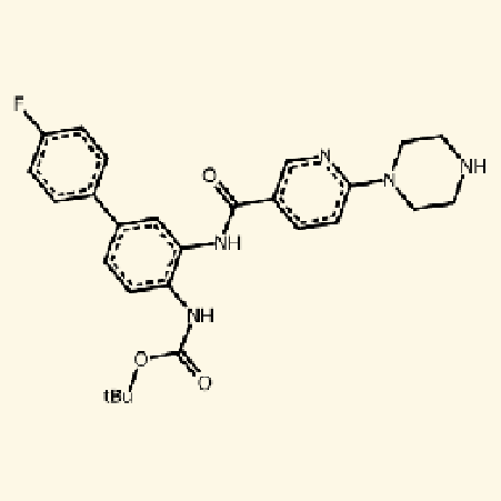 CC(C)(C)OC(=O)Nc1ccc(-c2ccc(F)cc2)cc1NC(=O)c1ccc(N2CCNCC2)nc1